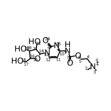 C[N+](C)(C)CCOC(=O)Nc1ccn(C2OC(CO)C(O)C2O)c(=O)n1